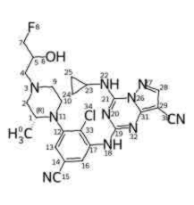 C[C@@H]1CN(CC(O)CF)CCN1c1cc(C#N)cc(Nc2nc(NC3CC3)n3ncc(C#N)c3n2)c1Cl